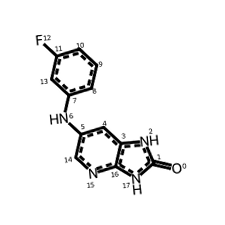 O=c1[nH]c2cc(Nc3cccc(F)c3)cnc2[nH]1